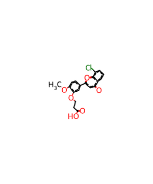 COc1ccc(-c2cc(=O)c3cccc(Cl)c3o2)cc1OCCC(=O)O